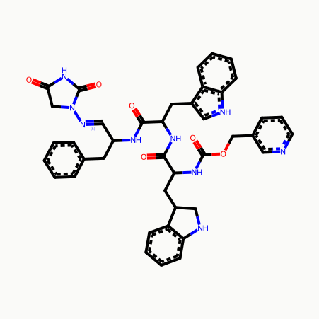 O=C1CN(/N=C/C(Cc2ccccc2)NC(=O)C(Cc2c[nH]c3ccccc23)NC(=O)C(CC2CNc3ccccc32)NC(=O)OCc2cccnc2)C(=O)N1